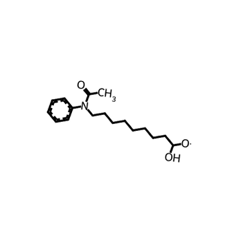 CC(=O)N(CCCCCCCCC([O])O)c1ccccc1